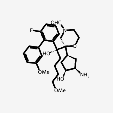 COCCCC[C@@](O)(c1cccc(F)c1-c1cccc(OC)c1)[C@@]1([C@H]2C[C@@H](N)[C@@H](O)C2)CN(C=O)CCO1